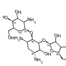 NC1C(O)[C@H](O)C(CO)O[C@@H]1O[C@@H]1C(N)C[C@@H](N)C(O)C1O[C@@H]1O[C@H](CO)C(O)C1O